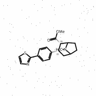 COC(=O)[C@@H]1C2CCC(C[C@@H]1c1ccc(-c3nccs3)cc1)N2C